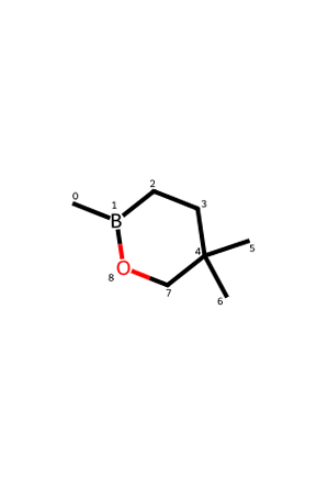 CB1CCC(C)(C)CO1